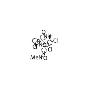 CNC(=O)N1CCC(Oc2ccc(Cl)c(F)c2[C@H]2NC(=O)C[C@@H](C3C=CC=C(Cl)C3)[C@]23C(=O)Nc2cc(Cl)ccc23)CC1